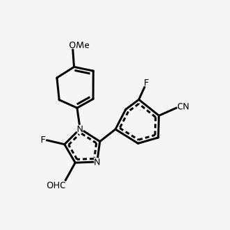 COC1=CC=C(n2c(-c3ccc(C#N)c(F)c3)nc(C=O)c2F)CC1